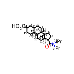 CC(C)N(C(=O)C1CC[C@H]2[C@@H]3CCC4CC(C(=O)O)CC[C@]4(C)[C@@H]3CC[C@]12C)C(C)C